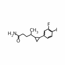 CC(CCC(N)=O)C1CC1c1ccc(I)c(F)c1